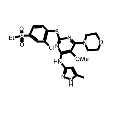 CCS(=O)(=O)c1ccc(Sc2nc(Nc3cc(C)[nH]n3)c(OC)c(N3CCOCC3)n2)c(Cl)c1